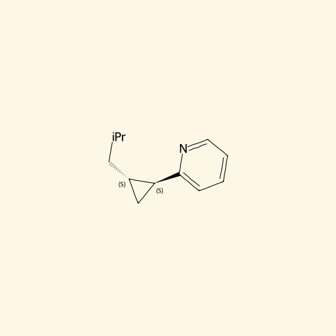 CC(C)C[C@H]1C[C@@H]1c1ccccn1